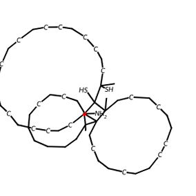 CC1(S)CCCCCCCCCCCCCCCCCCCCC2(N)C1(S)C1(C)CCCCCCCCCCCCCCCC12C1(C)CCCCCCCCCCC1